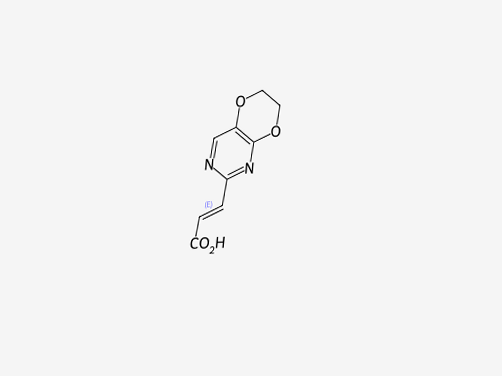 O=C(O)/C=C/c1ncc2c(n1)OCCO2